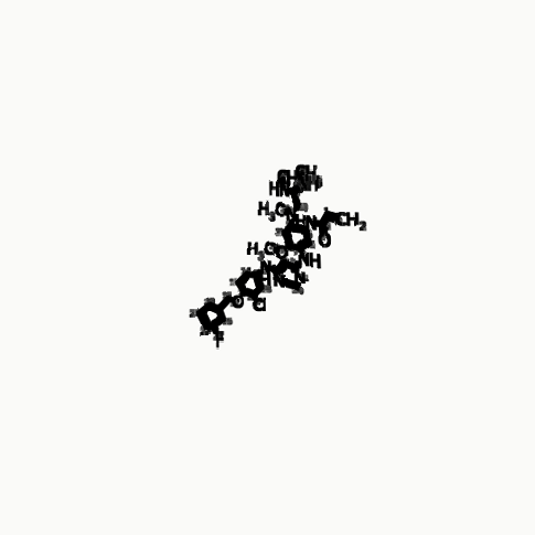 C=CC(=O)Nc1cc(Nc2cc(Nc3ccc(OCc4cccc(F)c4)c(Cl)c3)ncn2)c(OC)cc1N(C)CC(NC)NC